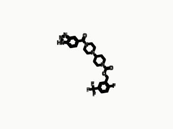 O=C(OCc1cc(C(F)(F)F)ccc1F)N1CCC(N2CCN(C(=O)c3ccc4[nH]nnc4c3)CC2)CC1